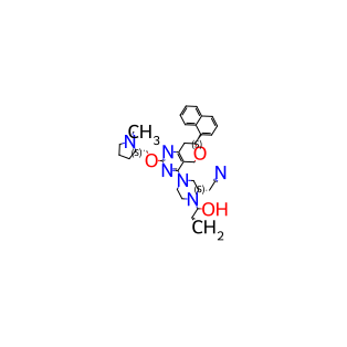 C=CC(O)N1CCN(c2nc(OC[C@@H]3CCCN3C)nc3c2CO[C@H](c2cccc4ccccc24)C3)C[C@@H]1CC#N